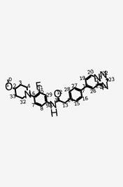 COC1CCN(c2ccc(NC(=O)Cc3ccc(-c4ccn5ncnc5c4)cc3)cc2F)CC1